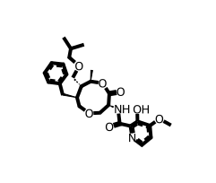 COc1ccnc(C(=O)N[C@@H]2COC[C@@H](Cc3ccccc3)[C@H](COCC(C)C)[C@@H](C)OC2=O)c1O